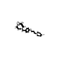 c1cc(OCCCN2CCCCC2)ccc1CN1CCOCC1